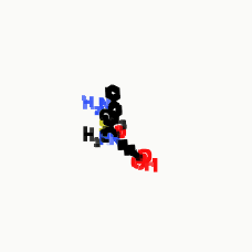 Cc1sc(C)c(C(=O)NC2CC3(C2)CC(C(=O)O)C3)c1Cc1ccc(-c2ccccc2)c(N)c1